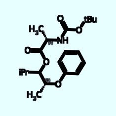 CC(C)C(OC(=O)[C@H](C)NC(=O)OC(C)(C)C)[C@@H](C)Oc1ccccc1